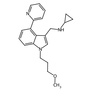 COCCCn1cc(CNC2CC2)c2c(-c3ccccn3)cccc21